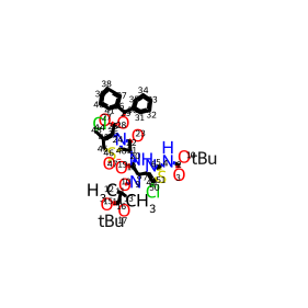 CC(C)(C)OC(=O)Nc1nc(/C(=N/OC(C)(C)C(=O)OC(C)(C)C)C(=O)NC2C(=O)N3C(C(=O)OC(c4ccccc4)c4ccccc4)=C(CCl)C[S+]([O-])C23)c(Cl)s1